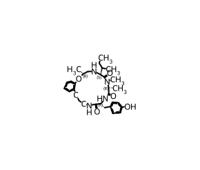 CCC(C)[C@@H]1NC[C@@H](C)Oc2ccccc2CCCNC(=O)[C@@H](Cc2ccc(O)cc2)NC(=O)[C@@H](C)N(C)C1=O